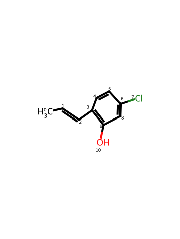 CC=Cc1ccc(Cl)cc1O